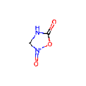 O=C1NC[N+](=O)O1